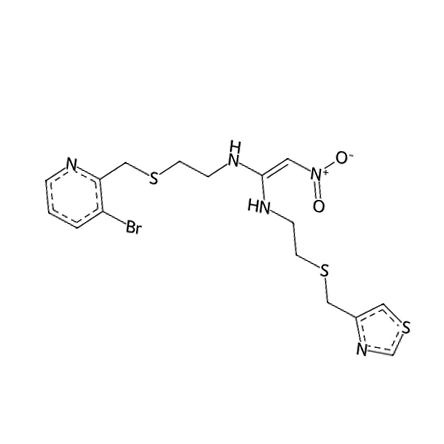 O=[N+]([O-])C=C(NCCSCc1cscn1)NCCSCc1ncccc1Br